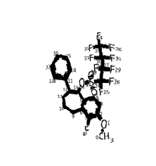 COc1ccc2c(c1F)CCCC(c1ccccc1)=C2OS(=O)(=O)C(F)(F)C(F)(F)C(F)(F)C(F)(F)F